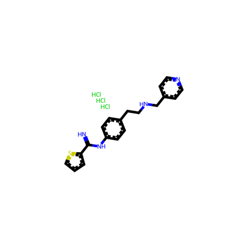 Cl.Cl.Cl.N=C(Nc1ccc(CCNCc2ccncc2)cc1)c1cccs1